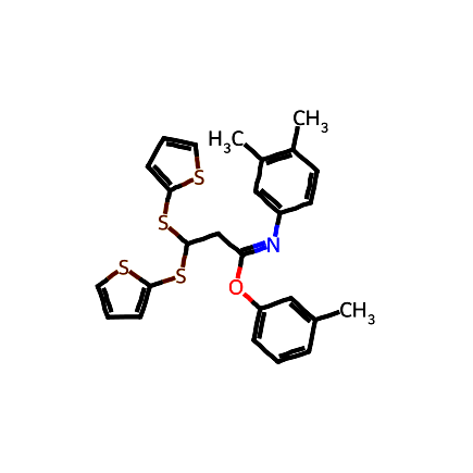 Cc1cccc(OC(CC(Sc2cccs2)Sc2cccs2)=Nc2ccc(C)c(C)c2)c1